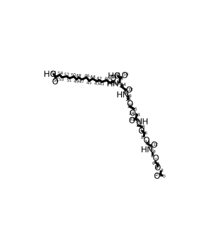 CC(=O)COCCOCCNC(=O)COCCOCCNC(=O)COCCOCCNC(=O)CC[C@H](NC(=O)CCCCCCCCCCCCCCCCC(=O)O)C(=O)O